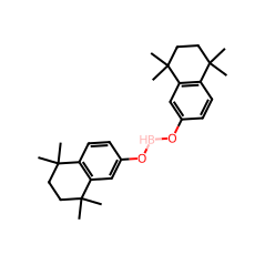 CC1(C)CCC(C)(C)c2cc(OBOc3ccc4c(c3)C(C)(C)CCC4(C)C)ccc21